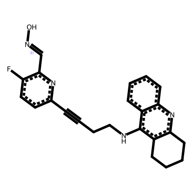 O/N=C/c1nc(C#CCCNc2c3c(nc4ccccc24)CCCC3)ccc1F